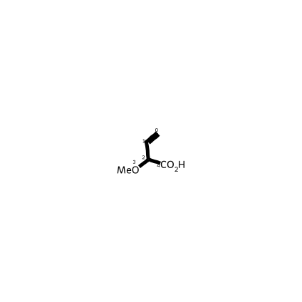 C=C[C](OC)C(=O)O